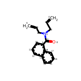 C=CCN(CC=C)C(=O)c1cccc2ccccc12